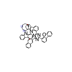 C1#CC/C(n2c3ccccc3c3cccc(-n4c5c(c6cccc(-c7nc(-c8ccc9ccccc9c8)nc(-c8cccc9c8oc8ccccc89)n7)c64)C=CCC5)c32)=C\C=C/C1